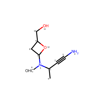 CC(C#CN)N(C=O)C1CC(CO)O1